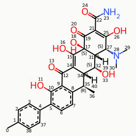 Cc1ccc(-c2ccc3c(c2O)C(=O)C2=C(O)[C@]4(O)C(=O)C(C(N)=O)=C(O)[C@@H](N(C)C)[C@@H]4[C@@H](O)[C@@H]2[C@H]3C)cc1